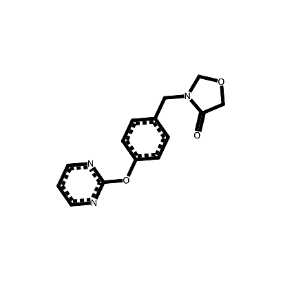 O=C1COCN1Cc1ccc(Oc2ncccn2)cc1